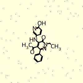 CCn1nc(-c2ccccc2)c(C(C)=O)c(Nc2ccc(O)nc2)c1=O